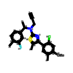 C#CCN(c1nc(-c2cc(C)c(OC)cc2Cl)c(C)s1)C(C)c1ccc(C)c(F)c1